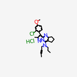 CC#CCN(CCC)c1c2c(nc3c(-c4ccc(OC)cc4Cl)c(C)nn13)CCC2.Cl